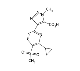 Cn1nnc(-c2ccc(S(C)(=O)=O)c(C3CC3)n2)c1C(=O)O